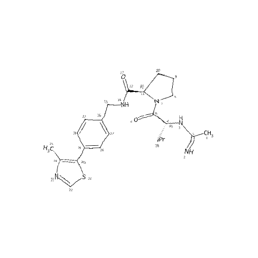 CC(=N)N[C@@H](C(=O)N1CCC[C@@H]1C(=O)NCc1ccc(-c2scnc2C)cc1)C(C)C